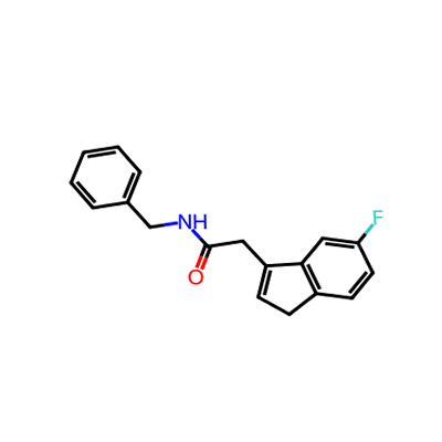 O=C(CC1=CCc2ccc(F)cc21)NCc1ccccc1